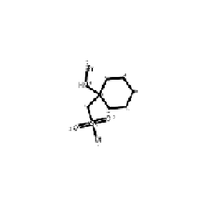 CCS(=O)(=O)CC1(NC(C)C)CCCCC1